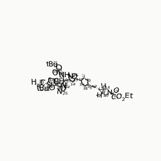 CCOC(=O)C(=O)N1C[C@@H]2[C@@H](C#Cc3ccc(-c4cc([C@@H](CNC(=O)OC(C)(C)C)n5ccnc5[C@H](C)O[Si](C)(C)C(C)(C)C)no4)cc3)[C@@H]2C1